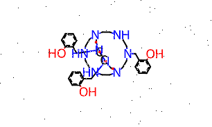 Oc1ccccc1CN1CCNCCN2CCNCCNCCN(CC1)CCN(Cc1ccccc1O)CCN(Cc1ccccc1O)CC2